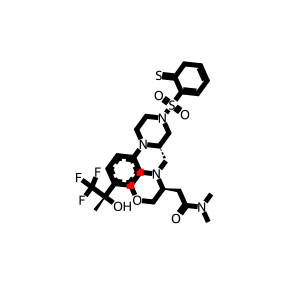 CN(C)C(=O)C[C@H]1COCCN1C[C@H]1CN(S(=O)(=O)C2=CC=CCC2=S)CCN1c1ccc([C@](C)(O)C(F)(F)F)cc1